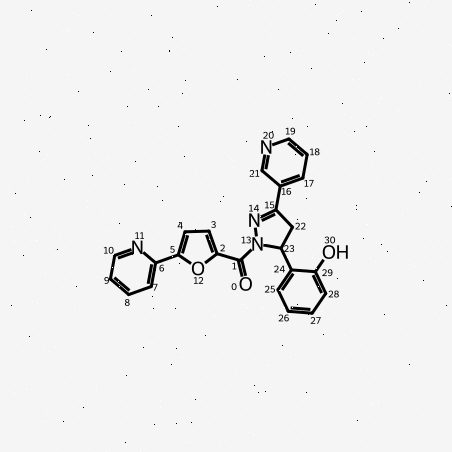 O=C(c1ccc(-c2ccccn2)o1)N1N=C(c2cccnc2)CC1c1ccccc1O